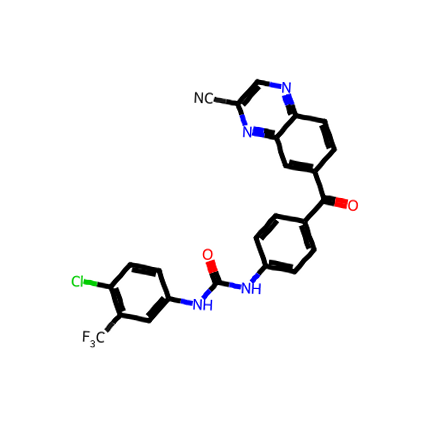 N#Cc1cnc2ccc(C(=O)c3ccc(NC(=O)Nc4ccc(Cl)c(C(F)(F)F)c4)cc3)cc2n1